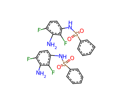 Nc1c(F)ccc(NS(=O)(=O)c2ccccc2)c1F.Nc1c(F)ccc(NS(=O)(=O)c2ccccc2)c1F